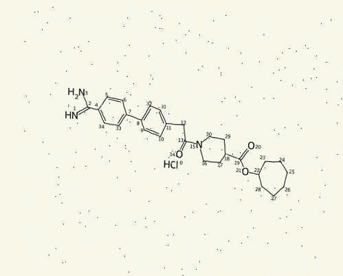 Cl.N=C(N)c1ccc(-c2ccc(CC(=O)N3CCC(C(=O)OC4CCCCCC4)CC3)cc2)cc1